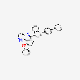 c1ccc(-c2ccc(-c3ccc(-c4nc5cccnc5c5c4ccc4c6ccccc6oc45)c4ccccc34)cc2)cc1